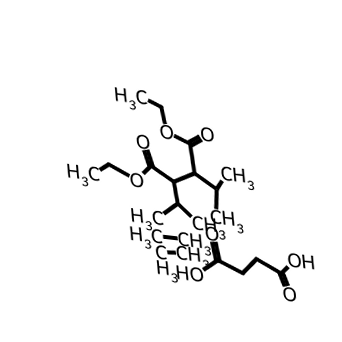 CC.CC.CCOC(=O)C(C(C)C)C(C(=O)OCC)C(C)C.O=C(O)CCC(=O)O